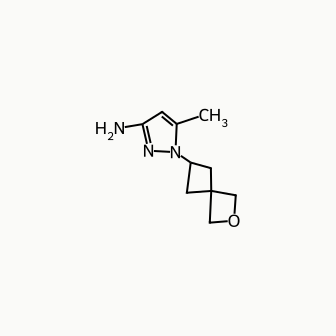 Cc1cc(N)nn1C1CC2(COC2)C1